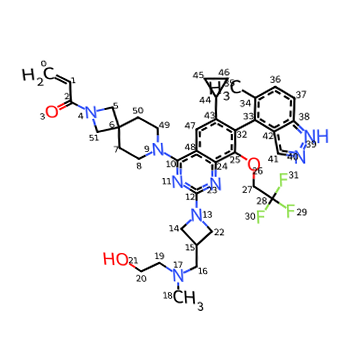 C=CC(=O)N1CC2(CCN(c3nc(N4CC(CN(C)CCO)C4)nc4c(OCC(F)(F)F)c(-c5c(C)ccc6[nH]ncc56)c(C5CC5)cc34)CC2)C1